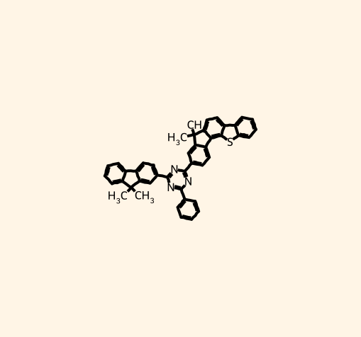 CC1(C)c2ccccc2-c2ccc(-c3nc(-c4ccccc4)nc(-c4ccc5c(c4)C(C)(C)c4ccc6c(sc7ccccc76)c4-5)n3)cc21